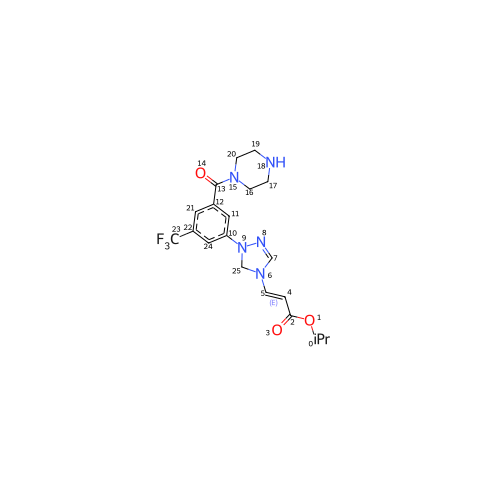 CC(C)OC(=O)/C=C/N1C=NN(c2cc(C(=O)N3CCNCC3)cc(C(F)(F)F)c2)C1